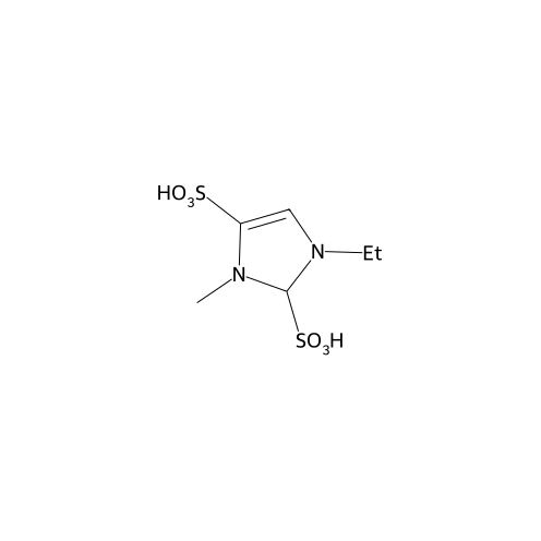 CCN1C=C(S(=O)(=O)O)N(C)C1S(=O)(=O)O